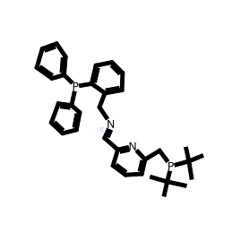 CC(C)(C)P(Cc1cccc(/C=N/Cc2ccccc2P(c2ccccc2)c2ccccc2)n1)C(C)(C)C